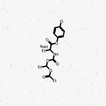 CCC(=O)OC(CC)OC(=O)NC(CC)C(=O)Oc1ccc(Cl)cc1.[NaH]